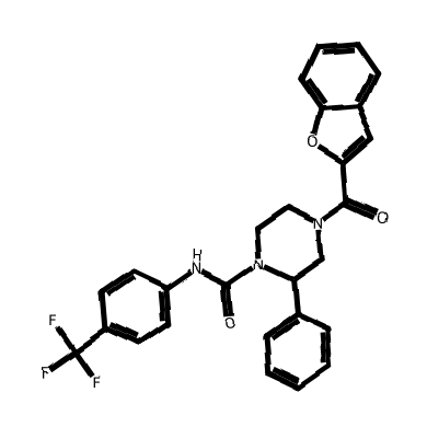 O=C(c1cc2ccccc2o1)N1CCN(C(=O)Nc2ccc(C(F)(F)F)cc2)C(c2ccccc2)C1